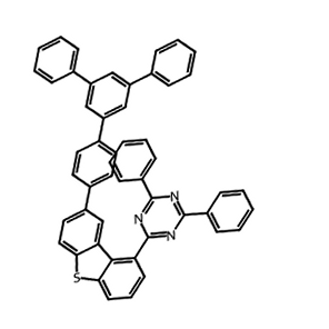 c1ccc(-c2cc(-c3ccccc3)cc(-c3ccc(-c4ccc5sc6cccc(-c7nc(-c8ccccc8)nc(-c8ccccc8)n7)c6c5c4)cc3)c2)cc1